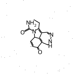 CCC1=C2C=NNCC3=C2C(C=[C]C3=O)N1C(N)=O